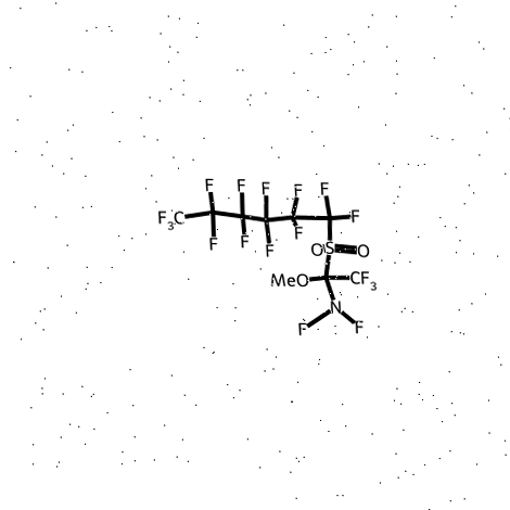 COC(N(F)F)(C(F)(F)F)S(=O)(=O)C(F)(F)C(F)(F)C(F)(F)C(F)(F)C(F)(F)C(F)(F)F